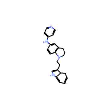 C1=CCC2C(CCN3CCCc4cc(Nc5ccncc5)ccc43)=CNC2=C1